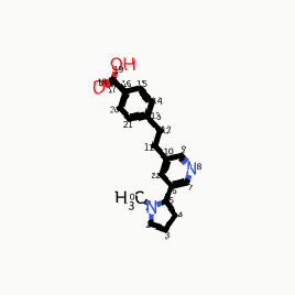 CN1CCCC1c1cncc(CCc2ccc(C(=O)O)cc2)c1